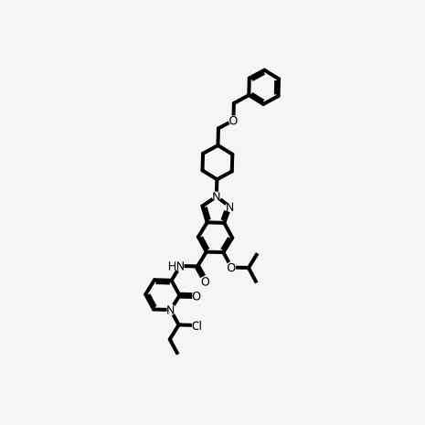 CCC(Cl)n1cccc(NC(=O)c2cc3cn(C4CCC(COCc5ccccc5)CC4)nc3cc2OC(C)C)c1=O